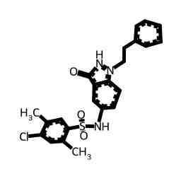 Cc1cc(S(=O)(=O)Nc2ccc3c(c2)c(=O)[nH]n3CCc2ccccc2)c(C)cc1Cl